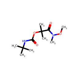 CON(C)C(=O)C(C)(C)OC(=O)NC(C)(C)C